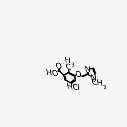 Cc1c(OCc2nccn2C)cccc1C(=O)O.Cl